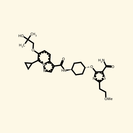 COCCc1nc(O[C@H]2CC[C@H](NC(=O)c3cnn4c(C5CC5)c(OCC(C)(C)O)ccc34)CC2)c(C(N)=O)s1